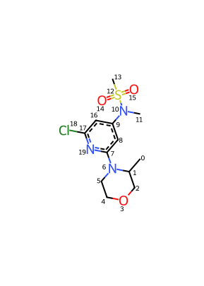 CC1COCCN1c1cc(N(C)S(C)(=O)=O)cc(Cl)n1